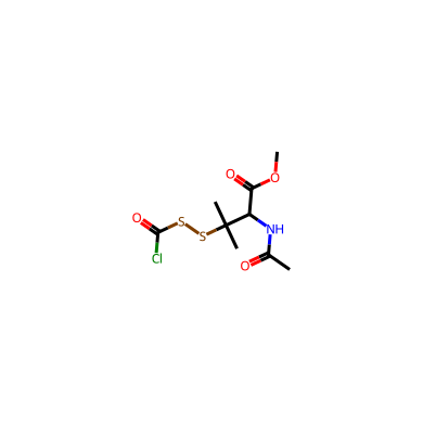 COC(=O)C(NC(C)=O)C(C)(C)SSC(=O)Cl